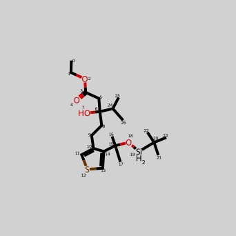 CCOC(=O)CC(O)(CCc1cscc1C(C)(C)O[SiH2]C(C)(C)C)C(C)C